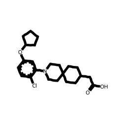 O=C(O)CC1CCC2(CC1)CCN(c1cc(OC3CCCC3)ccc1Cl)CC2